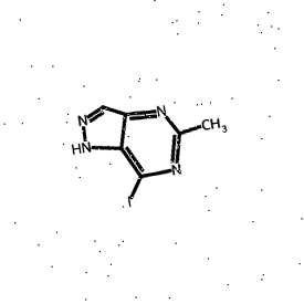 Cc1nc(I)c2[nH]ncc2n1